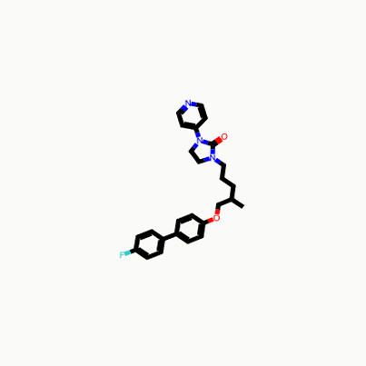 CC(CCCN1CCN(c2ccncc2)C1=O)COc1ccc(-c2ccc(F)cc2)cc1